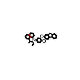 C=C/C(=C(\C)c1ccccc1)N(c1ccccc1)c1ccc2c(c1)Oc1cc3c(cc1O2)-c1ccccc1C3